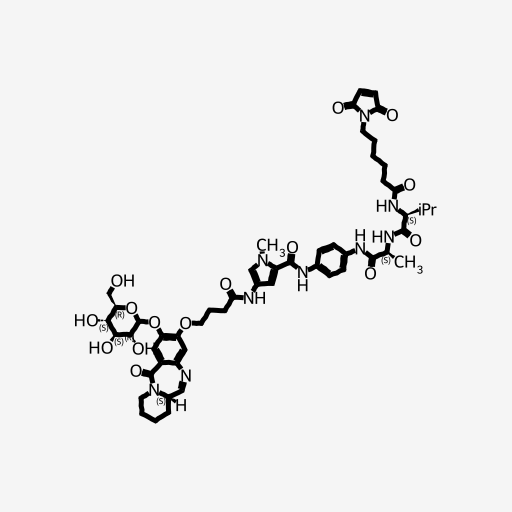 CC(C)[C@H](NC(=O)CCCCCN1C(=O)C=CC1=O)C(=O)N[C@@H](C)C(=O)Nc1ccc(NC(=O)c2cc(NC(=O)CCCOc3cc4c(cc3OC3O[C@H](CO)[C@@H](O)[C@H](O)[C@H]3O)C(=O)N3CCCC[C@H]3C=N4)cn2C)cc1